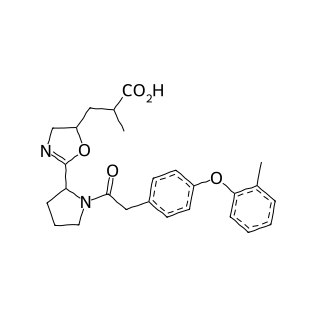 Cc1ccccc1Oc1ccc(CC(=O)N2CCCC2C2=NCC(CC(C)C(=O)O)O2)cc1